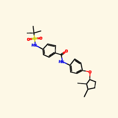 CC1CCC(Oc2ccc(NC(=O)c3ccc(NS(=O)(=O)C(C)(C)C)cc3)cc2)C1C